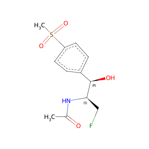 CC(=O)N[C@H](CF)[C@H](O)c1ccc(S(C)(=O)=O)cc1